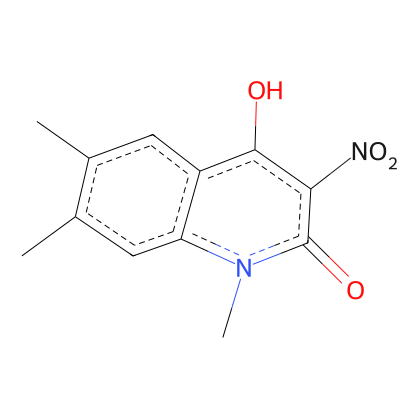 Cc1cc2c(O)c([N+](=O)[O-])c(=O)n(C)c2cc1C